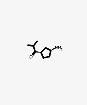 CC(C)C(=O)[C@@H]1CC[C@H](N)C1